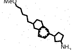 COCCCCCC1CCc2cc(C3CCC(N)C3)ccc2C1